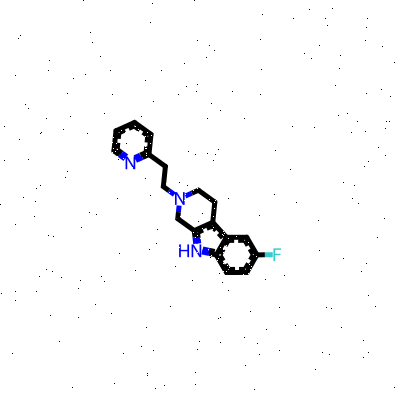 Fc1ccc2[nH]c3c(c2c1)CCN(CCc1ccccn1)C3